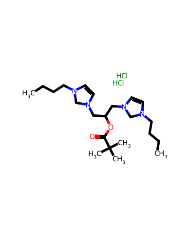 CCCCN1C=CN(CC(CN2C=CN(CCCC)C2)OC(=O)C(C)(C)C)C1.Cl.Cl